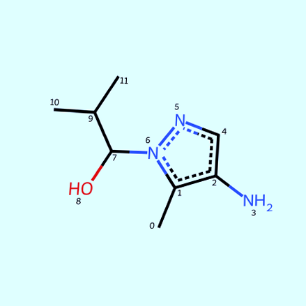 Cc1c(N)cnn1C(O)C(C)C